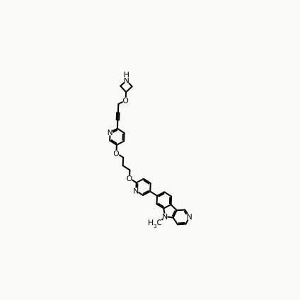 Cn1c2ccncc2c2ccc(-c3ccc(OCCCOc4ccc(C#CCOC5CNC5)nc4)nc3)cc21